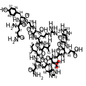 CC[C@H](C)[C@H](NC(=O)[C@@H](NC(=O)[C@H](CCCNC(=N)N)NC(=O)[C@H](CO)NC(=O)CNC(=O)[C@H](Cc1ccc(O)cc1)NC(=O)[C@@H](N)CCC(N)=O)C(C)C)C(=O)N[C@@H](CCC(N)=O)C(=O)N[C@@H](Cc1c[nH]cn1)C(=O)N[C@H](C(=O)N[C@@H](CC(C)C)C(=O)N[C@@H](CCC(=O)O)C(=O)N[C@@H](Cc1c[nH]cn1)C(=O)O)C(C)C